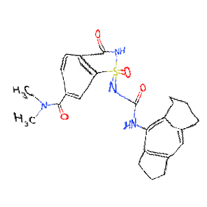 CN(C)C(=O)c1ccc2c(c1)S(=O)(=NC(=O)Nc1c3c(cc4c1CCC4)CCC3)NC2=O